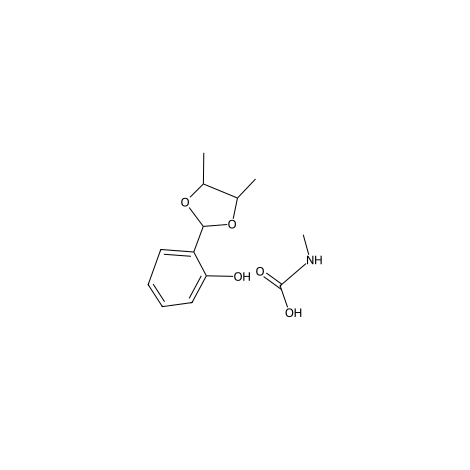 CC1OC(c2ccccc2O)OC1C.CNC(=O)O